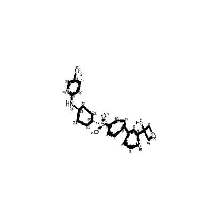 O=S(=O)(c1ccc(-c2ccnc(C3(O)COC3)c2)cc1)[C@H]1CC[C@H](Nc2ccc(C(F)(F)F)cn2)CC1